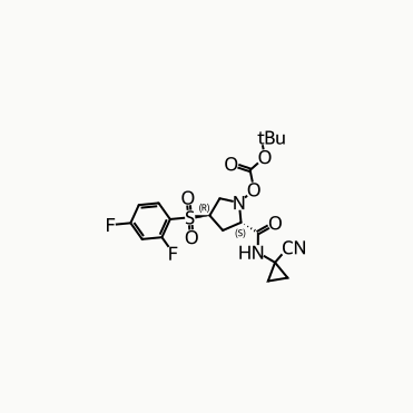 CC(C)(C)OC(=O)ON1C[C@H](S(=O)(=O)c2ccc(F)cc2F)C[C@H]1C(=O)NC1(C#N)CC1